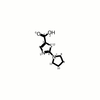 O=C(O)c1cnc(N2CCCC2)s1